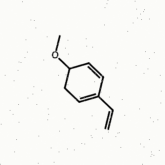 C=CC1=CCC(OC)C=C1